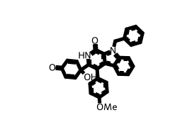 COc1ccc(-c2c(C3(O)C=CC(=O)C=C3)[nH]c(=O)c3c2c2ccccc2n3Cc2ccccc2)cc1